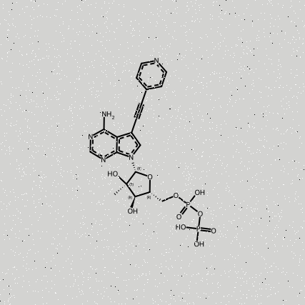 C[C@@]1(O)[C@H](O)[C@@H](COP(=O)(O)OP(=O)(O)O)O[C@H]1n1cc(C#Cc2ccncc2)c2c(N)ncnc21